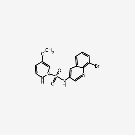 COC1=CN(S(=O)(=O)Nc2cnc3c(Br)cccc3c2)NC=C1